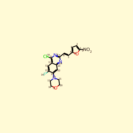 O=[N+]([O-])c1ccc(C=Cc2nc(Cl)c3cc(F)c(N4CCOCC4)cc3n2)o1